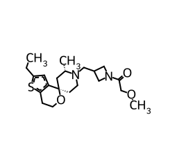 CCc1cc2c(s1)CCO[C@@]21CCN(CC2CN(C(=O)COC)C2)[C@@H](C)C1